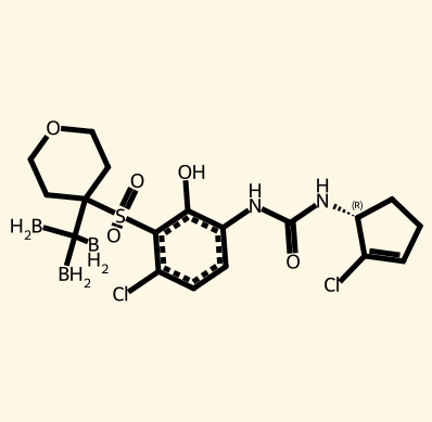 BC(B)(B)C1(S(=O)(=O)c2c(Cl)ccc(NC(=O)N[C@@H]3CCC=C3Cl)c2O)CCOCC1